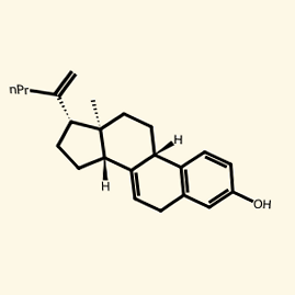 C=C(CCC)[C@H]1CC[C@H]2C3=CCc4cc(O)ccc4[C@H]3CC[C@]12C